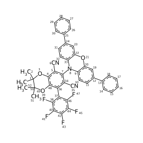 CC1(C)Oc2c(C#N)c(N3c4ccc(-c5ccccc5)cc4Oc4cc(-c5ccccc5)ccc43)c(C#N)c(-c3c(F)c(F)c(F)c(F)c3F)c2OC1(C)C